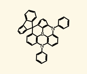 c1ccc(N2c3cccc4c3B3c5c2cccc5C2(c5ccccc5-c5ccccc52)c2cccc(c23)N4c2ccccc2)cc1